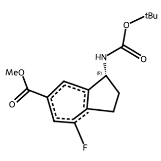 COC(=O)c1cc(F)c2c(c1)[C@H](NC(=O)OC(C)(C)C)CC2